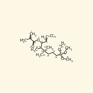 C=CC(OC(=O)C(=C)C)C(C)[N+](C)(C)CCC[Si](OC)(OC)OC.[Cl-]